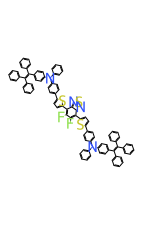 Fc1c(F)c(-c2ccc(-c3ccc(N(c4ccccc4)c4ccc(C(=C(c5ccccc5)c5ccccc5)c5ccccc5)cc4)cc3)s2)c2nsnc2c1-c1ccc(-c2ccc(N(c3ccccc3)c3ccc(C(=C(c4ccccc4)c4ccccc4)c4ccccc4)cc3)cc2)s1